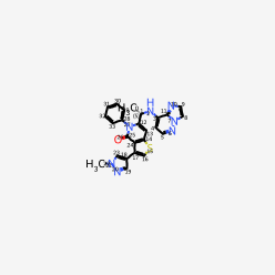 C[C@H](Nc1ccnn2ccnc12)c1cc2scc(-c3cnn(C)c3)c2c(=O)n1-c1ccccc1